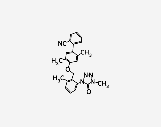 Cc1cc(-c2ccccc2C#N)c(C)cc1OCc1c(C)cccc1-n1nnn(C)c1=O